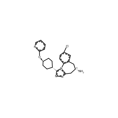 N[C@H]1Cc2cc(Cl)ccc2-n2c(nnc2[C@H]2CC[C@H](Oc3ccccn3)CC2)C1